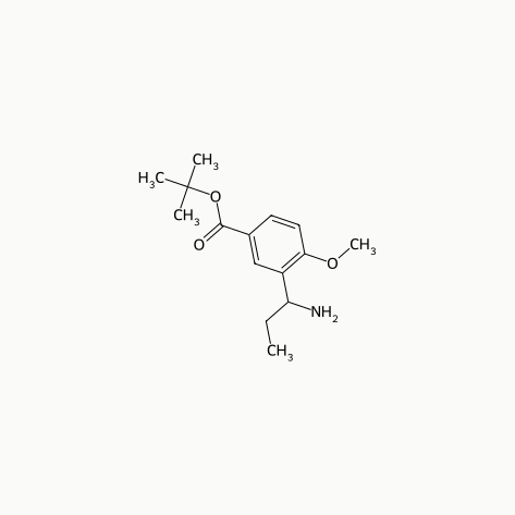 CCC(N)c1cc(C(=O)OC(C)(C)C)ccc1OC